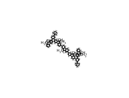 CC1(C)c2cc(-c3ccc4c(c3)C(C)(C)c3cc(-c5cc(-c6ncccn6)ccc5-c5ccc6c(c5)C(C)(C)c5ccccc5-6)ccc3-4)ccc2-c2ccc(-c3ccc4c(c3)C(C)(C)c3cc(-c5cc(-c6ncccn6)ccc5-c5ccc6c(c5)C(C)(C)c5ccccc5-6)ccc3-4)cc21